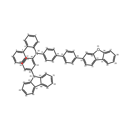 c1ccc(-c2ccccc2N(c2ccc(-c3ccc(-c4ccc5c(c4)oc4ccccc45)cc3)cc2)c2cccc(-n3c4ccccc4c4ccccc43)c2)cc1